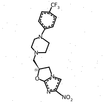 O=[N+]([O-])c1cn2c(n1)O[C@@H](CN1CCN(c3ccc(C(F)(F)F)cc3)CC1)C2